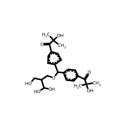 CC(C)(O)C(=O)c1ccc(C(OCC(CO)C(O)O)c2ccc(C(=O)C(C)(C)O)cc2)cc1